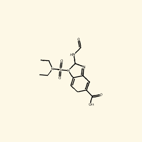 CCN(CC)S(=O)(=O)N1C2=CCC(C(=O)O)=CC2=NC1NC=O